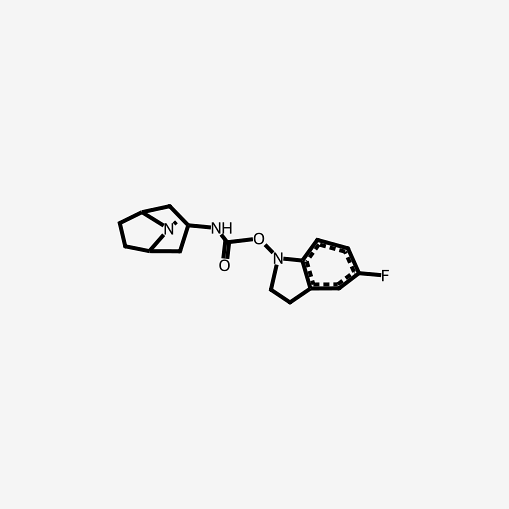 CN1C2CCC1CC(NC(=O)ON1CCc3cc(F)ccc31)C2